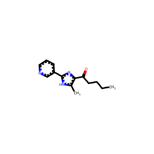 CCCCC(=O)c1nc(-c2cccnc2)[nH]c1C